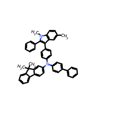 Cc1ccc2c(c1)c(-c1ccc(N(c3ccc(-c4ccccc4)cc3)c3ccc4c(c3)C(C)(C)c3ccccc3-4)cc1)c(-c1ccccc1)n2C